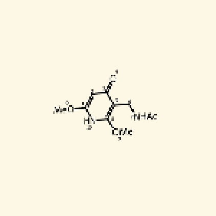 COc1cc(=O)c(CNC(C)=O)c(OC)[nH]1